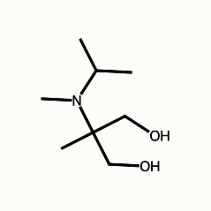 CC(C)N(C)C(C)(CO)CO